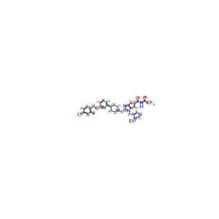 CCn1cncc1Cn1c(CN2CCC(c3cccc(OCc4ccc(Cl)cc4F)n3)CC2)nc2sc(C(=O)NC(=O)C(F)(F)F)cc21